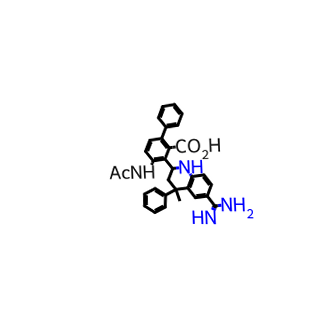 CC(=O)Nc1ccc(-c2ccccc2)c(C(=O)O)c1C1CC(C)(c2ccccc2)c2cc(C(=N)N)ccc2N1